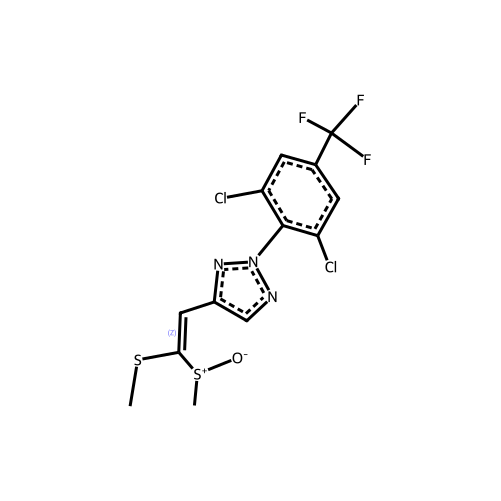 CS/C(=C/c1cnn(-c2c(Cl)cc(C(F)(F)F)cc2Cl)n1)[S+](C)[O-]